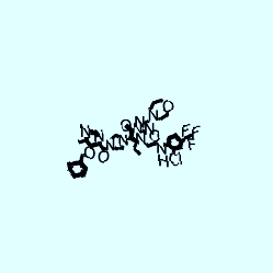 CCc1c(N2CCN(C(=O)c3ncnc(C)c3OCc3ccccc3)CC2)c(=O)n2nc(N3CCCOCC3)nc2n1CC(=O)Nc1ccc(C(F)(F)F)cc1Cl